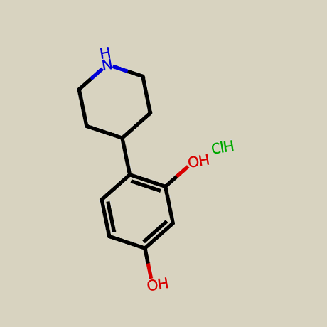 Cl.Oc1ccc(C2CCNCC2)c(O)c1